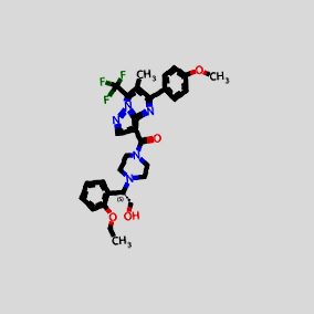 CCOc1ccccc1[C@@H](CO)N1CCN(C(=O)c2cnn3c(C(F)(F)F)c(C)c(-c4ccc(OC)cc4)nc23)CC1